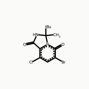 CC(C)(C)C1(C)NC(=O)c2c(Cl)cc(Br)c(=O)n21